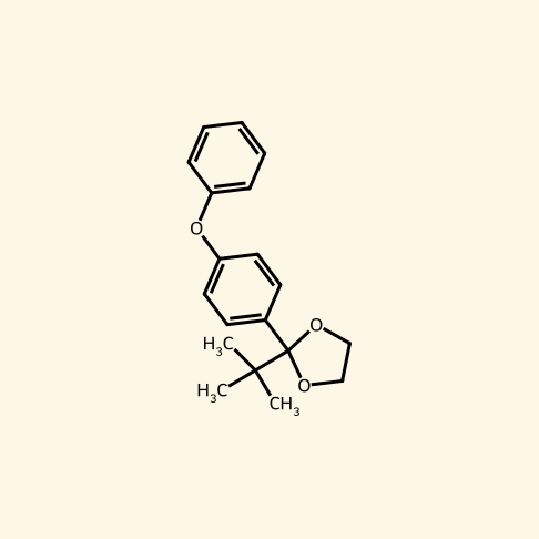 CC(C)(C)C1(c2ccc(Oc3ccccc3)cc2)OCCO1